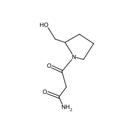 NC(=O)CC(=O)N1CCCC1CO